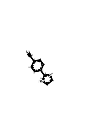 N#Cc1ccc(-c2ncc[nH]2)cc1